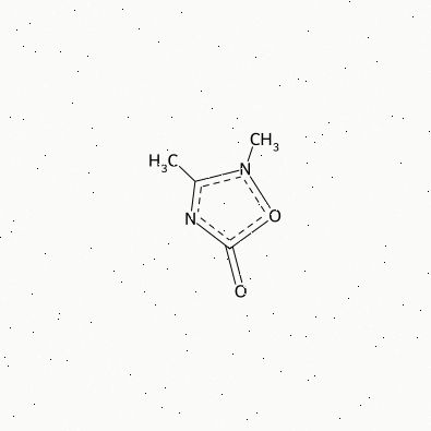 Cc1nc(=O)on1C